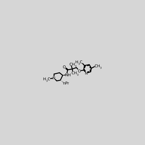 CCC[C@@H]1CN(C)CC[C@H]1NC(=O)C(C)(C)COc1ncc(C)cc1C